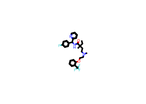 CCC(C)(CCN(C)CCOc1ccccc1C(F)(F)F)C(=O)NC(c1ccc(F)cc1)c1ccccn1